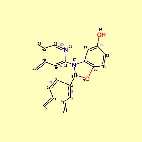 C=C/C=C\C(=C/C=C)B1Oc2ccc(O)cc2N1C(=C/C=C)/N=C\CC